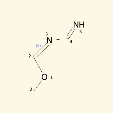 CO/C=N\C=N